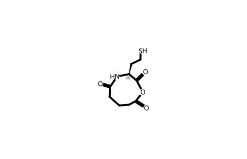 O=C1CCCC(=O)OC(=O)[C@H](CCS)N1